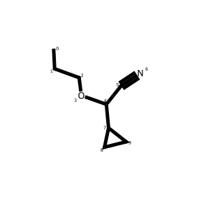 CCCOC(C#N)C1CC1